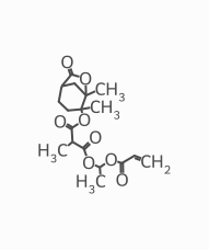 C=CC(=O)OC(C)OC(=O)C(C)C(=O)OC1(C)CCC2CC1(C)OC2=O